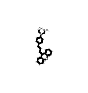 CCN(CC)c1ccc(/C=C/C=C2c3ccccc3Oc3ccccc32)cc1